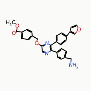 COC(=O)c1ccc(COc2cnc(-c3ccc(CN)cc3)c(-c3ccc(-c4ccoc4)cc3)n2)cc1